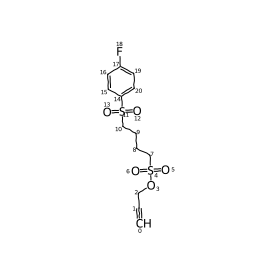 C#CCOS(=O)(=O)CCCCS(=O)(=O)c1ccc(F)cc1